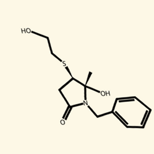 C[C@]1(O)[C@H](SCCO)CC(=O)N1Cc1ccccc1